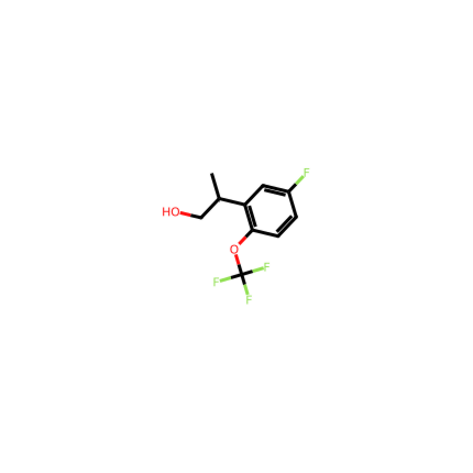 C[C](CO)c1cc(F)ccc1OC(F)(F)F